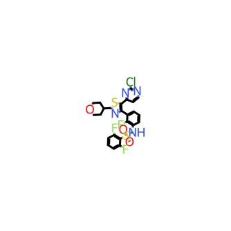 O=S(=O)(Nc1cccc(-c2nc(C3CCOCC3)sc2-c2ccnc(Cl)n2)c1F)c1c(F)cccc1F